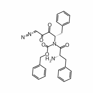 [N-]=[N+]=CC(=O)C(=O)[C@H](Cc1ccccc1)N(C(=O)OCc1ccccc1)C(=O)[C@@H](N)Cc1ccccc1